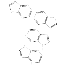 c1cc2[nH]ccc2cn1.c1cc2cc[nH]c2cn1.c1cnc2[nH]ccc2c1.c1cnc2cc[nH]c2c1